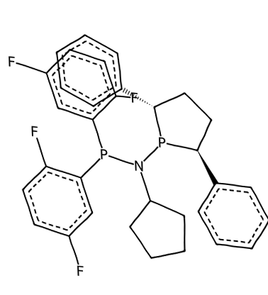 Fc1ccc(F)c(P(c2cc(F)ccc2F)N(C2CCCC2)P2[C@H](c3ccccc3)CC[C@H]2c2ccccc2)c1